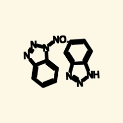 O=[N+]([O-])n1nnc2ccccc21.c1ccc2[nH]nnc2c1